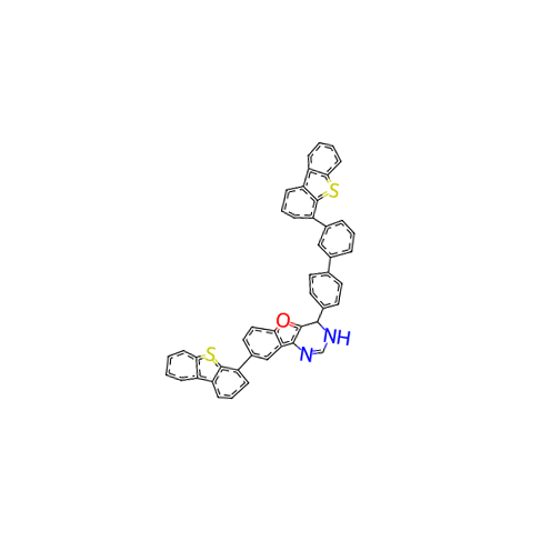 C1=Nc2c(oc3ccc(-c4cccc5c4sc4ccccc45)cc23)C(c2ccc(-c3cccc(-c4cccc5c4sc4ccccc45)c3)cc2)N1